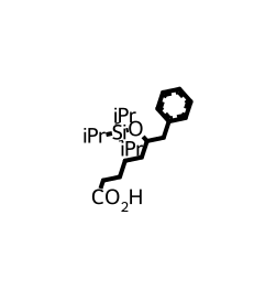 CC(C)[Si](OC(CCCCC(=O)O)Cc1ccccc1)(C(C)C)C(C)C